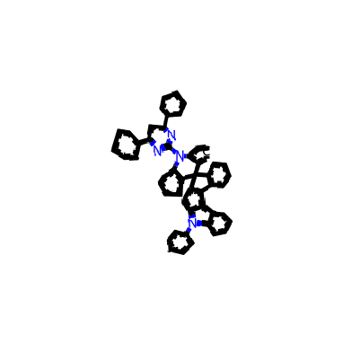 c1ccc(-c2cc(-c3ccccc3)nc(N3c4ccccc4C4(c5ccccc5-c5c4ccc4c5c5ccccc5n4-c4ccccc4)c4ccccc43)n2)cc1